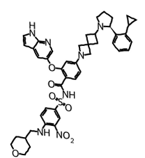 O=C(NS(=O)(=O)c1ccc(NCC2CCOCC2)c([N+](=O)[O-])c1)c1ccc(N2CC3(CC(N4CCC[C@H]4c4ccccc4C4CC4)C3)C2)cc1Oc1cnc2[nH]ccc2c1